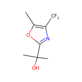 Cc1oc(C(C)(C)O)nc1C(F)(F)F